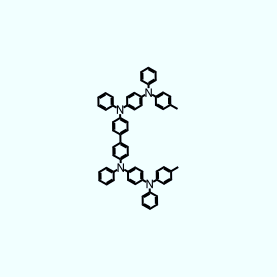 Cc1ccc(N(c2ccccc2)c2ccc(N(c3ccccc3)c3ccc(-c4ccc(N(c5ccccc5)c5ccc(N(c6ccccc6)c6ccc(C)cc6)cc5)cc4)cc3)cc2)cc1